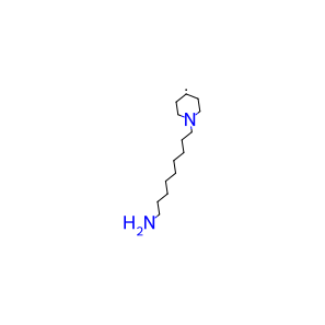 NCCCCCCCCCN1CC[CH]CC1